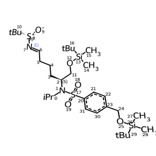 CC(C)N([C@@H](CCC/C=N/[S@@+]([O-])C(C)(C)C)CO[Si](C)(C)C(C)(C)C)S(=O)(=O)c1ccc(CO[Si](C)(C)C(C)(C)C)cc1